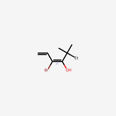 C=C/C(Br)=C(/O)C(C)(C)CC